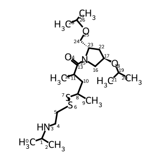 CC(C)NCCSSC(C)CC(C)C(=O)N1C[C@H](OC(C)C)C[C@H]1COC(C)C